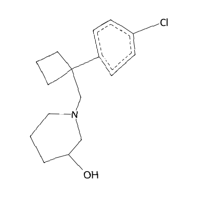 OC1CCCN(CC2(c3ccc(Cl)cc3)CCC2)C1